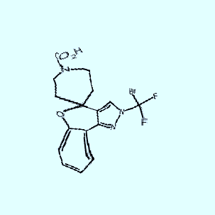 O=C(O)N1CCC2(CC1)Oc1ccccc1-c1nn(C(F)(F)Br)cc12